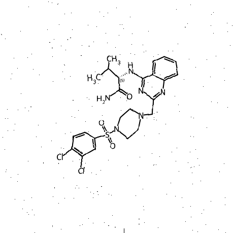 CC(C)[C@H](Nc1nc(CN2CCN(S(=O)(=O)c3ccc(Cl)c(Cl)c3)CC2)nc2ccccc12)C(N)=O